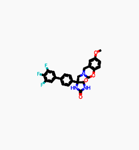 COc1ccc2c(c1)CN(CC1(c3ccc(-c4cc(F)c(F)c(F)c4)cc3)NC(=O)NC1=O)CO2